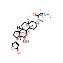 C[C@H](N)C(=O)N(C)[C@H]1CC[C@@]2(C)[C@H](CC[C@@H]3[C@@H]2C[C@@H](O)[C@]2(C)[C@@H](C4=CC(=O)OC4)CC[C@]32O)C1